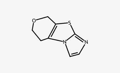 c1cn2c3c(sc2n1)COCC3